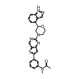 CC(=O)N(C)c1cccc(-c2cc3nc(N4CCOC(c5cccc6[nH]ncc56)C4)ncc3s2)c1